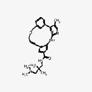 Cc1cnc2nc1-c1cccc(c1)COC/C=C/c1cc(cc(C(=O)NCC(C)(C)CN(C)C)c1)N2